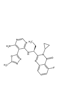 CC[C@H](Nc1ncnc(N)c1-c1nnc(C)o1)c1nc2cccc(F)c2c(=O)n1C1CC1